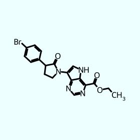 CCOC(=O)c1ncnc2c(N3CCC(c4ccc(Br)cc4)C3=O)c[nH]c12